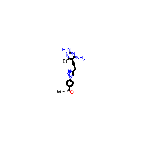 CCc1nc(N)nc(N)c1C#CCc1cn(-c2ccc(C(=O)OC)cc2)nn1